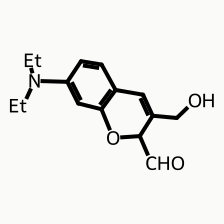 CCN(CC)c1ccc2c(c1)OC(C=O)C(CO)=C2